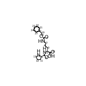 O=C(NCCC[C@H](NC(=O)[C@H]1CCCN1)C(=O)O)OCc1ccccc1